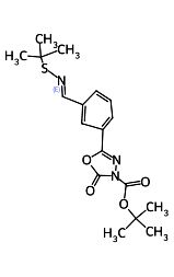 CC(C)(C)OC(=O)n1nc(-c2cccc(/C=N/SC(C)(C)C)c2)oc1=O